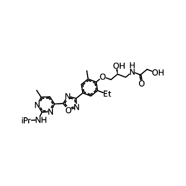 CCc1cc(-c2noc(-c3cc(C)nc(NC(C)C)n3)n2)cc(C)c1OC[C@@H](O)CNC(=O)CO